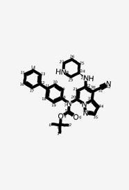 CC(C)(C)OC(=O)N(c1ccc(-c2ccccc2)cc1)c1cc(N[C@H]2CCCNC2)c(C#N)c2ccnn12